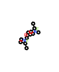 Fc1cc(-c2ccccc2)cc(-c2ccccc2)c1N(c1ccccc1)c1ccc2c(c1)Oc1cccc3c1c-2cc1ccc(N(c2ccccc2)c2c(F)cc(-c4ccccc4)cc2-c2ccccc2)cc13